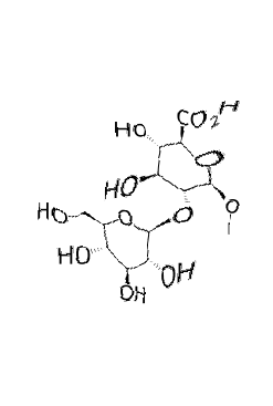 O=C(O)[C@H]1O[C@@H](OI)[C@H](O[C@@H]2O[C@H](CO)[C@@H](O)[C@H](O)[C@H]2O)[C@@H](O)[C@@H]1O